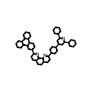 c1ccc(-c2cc(-c3ccc(-c4ccc5ccc6ccc(-c7ccc8c9ccccc9c9ccccc9c8c7)nc6c5n4)cc3)cc(-c3ccccc3)n2)cc1